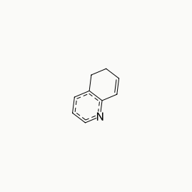 C1=Cc2ncccc2CC1